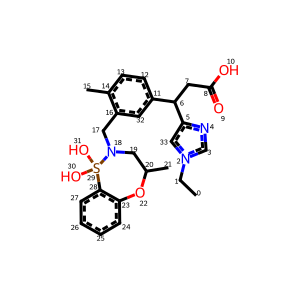 CCn1cnc(C(CC(=O)O)c2ccc(C)c(CN3CC(C)Oc4ccccc4S3(O)O)c2)c1